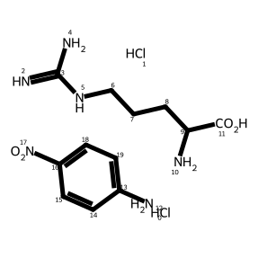 Cl.Cl.N=C(N)NCCCC(N)C(=O)O.Nc1ccc([N+](=O)[O-])cc1